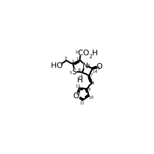 O=C(O)C1=C(CO)S[C@@H]2/C(=C\c3ccoc3)C(=O)N12